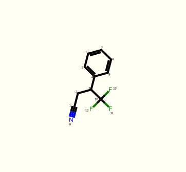 N#CCC(c1ccccc1)C(F)(F)F